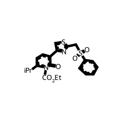 CCOC(=O)n1c(C(C)C)ccc(-c2csc(CS(=O)(=O)c3ccccc3)n2)c1=O